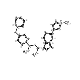 CN(CC(N)c1ncc(Cc2ccccc2)cn1)c1cnn2cc(-c3cnn(C)c3)ccc12